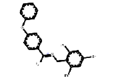 CC(C)c1cc(C(C)C)c(C/N=C(/c2ccc(Oc3ccccc3)cc2)C(F)(F)F)c(C(C)C)c1